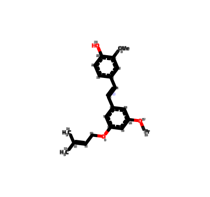 COc1cc(/C=C/c2cc(OCC=C(C)C)cc(OC(C)C)c2)ccc1O